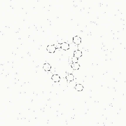 c1ccc(-c2cccc(-c3nc(-c4ccccc4)nc(-c4ccc5c(c4)oc4cc(-c6ccccc6-c6ccc7c(c6)sc6ccccc67)ccc45)n3)c2)cc1